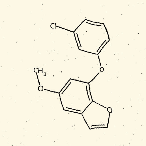 COc1cc(Oc2cc[c]c(Cl)c2)c2occc2c1